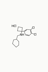 Cl.Clc1ccc(C2(NCC3CCCCC3)CCC2)cc1Cl